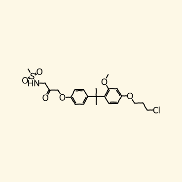 COc1cc(OCCCCl)ccc1C(C)(C)c1ccc(OCC(=O)CNS(C)(=O)=O)cc1